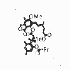 COC(=O)CC/C(C)=C/Cc1c(OC)c(C)c2c(c1OC(=O)CC(C)(C)c1c(C)cc(C)cc1OC(=O)C(C)C)C(=O)OC2